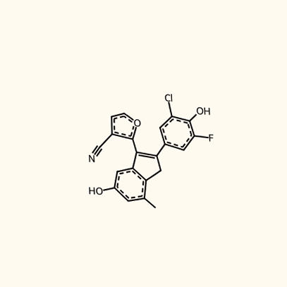 Cc1cc(O)cc2c1CC(c1cc(F)c(O)c(Cl)c1)=C2c1occc1C#N